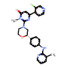 Cc1cccnc1Nc1ccc([C@H]2CN(c3nc(-c4ccncc4F)cc(=O)n3C)CCO2)cc1